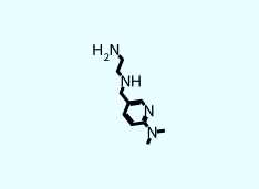 CN(C)c1ccc(CNCCN)cn1